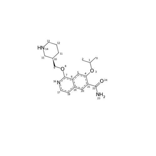 CC(C)Oc1cc2c(OC[C@@H]3CCCNC3)nccc2cc1C(N)=O